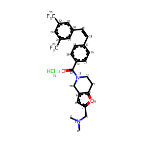 CN(C)Cc1cc2c(o1)CCN(C(=O)c1ccc(/C=C\c3cc(C(F)(F)F)cc(C(F)(F)F)c3)cc1)C2.Cl